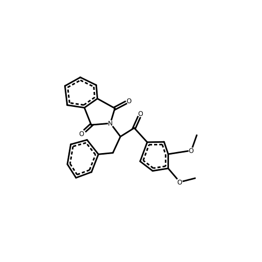 COc1ccc(C(=O)C(Cc2ccccc2)N2C(=O)c3ccccc3C2=O)cc1OC